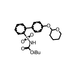 CC(C)COC(=O)NS(=O)(=O)c1ccccc1-c1ccc(OC2CCCCO2)cc1